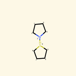 C1CCN([SH]2CCCC2)C1